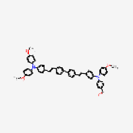 COc1ccc(N(c2ccc(C=O)cc2)c2ccc(/C=C/c3ccc(-c4ccc(/C=C/c5ccc(N(c6ccc(OC)cc6)c6ccc(OC)cc6)cc5)cc4)cc3)cc2)cc1